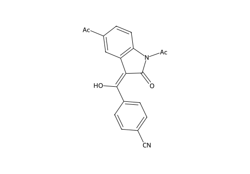 CC(=O)c1ccc2c(c1)C(=C(O)c1ccc(C#N)cc1)C(=O)N2C(C)=O